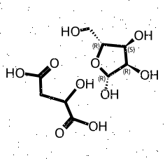 O=C(O)CC(O)C(=O)O.OC[C@H]1O[C@@H](O)[C@H](O)[C@@H]1O